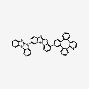 C1=CC2N=C3Sc4c(-c5ccc6c(c5)-c5cccnc5-c5ncccc5-c5ccccc5-6)cccc4N3C2C=C1n1c2ccccc2n2c3ccccc3nc12